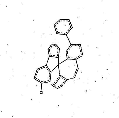 Clc1ccc2c(c1)C1(c3ccccc3C=Cc3ccc(-c4ccccc4)cc31)c1ccccc1-2